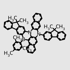 Cc1cc(C)c(B2c3cc4c(cc3N3c5cc6ccccc6cc5N(c5ccc6c(c5)C(C)(C)c5ccccc5-6)c5cc6ccccc6c2c53)C(C)(C)c2ccccc2-4)c(C)c1